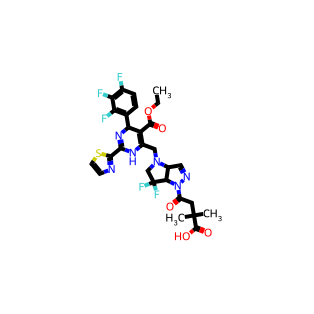 CCOC(=O)C1=C(CN2CC(F)(F)C3C2C=NN3C(=O)CC(C)(C)C(=O)O)NC(c2nccs2)=NC1c1ccc(F)c(F)c1F